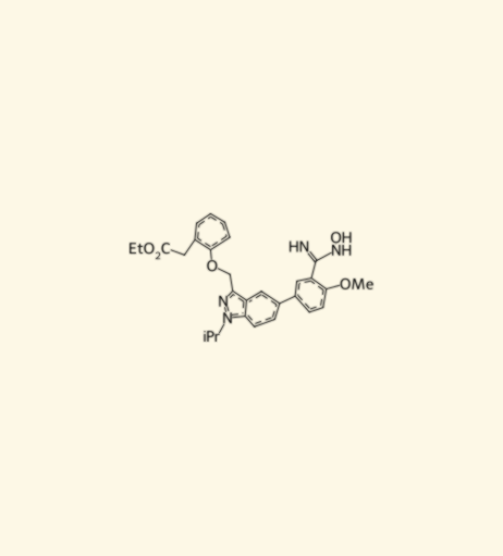 CCOC(=O)Cc1ccccc1OCc1nn(C(C)C)c2ccc(-c3ccc(OC)c(C(=N)NO)c3)cc12